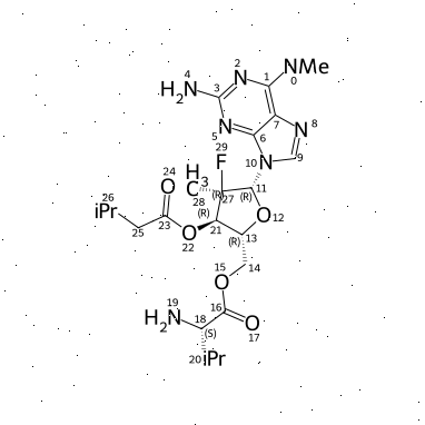 CNc1nc(N)nc2c1ncn2[C@@H]1O[C@H](COC(=O)[C@@H](N)C(C)C)[C@@H](OC(=O)CC(C)C)[C@@]1(C)F